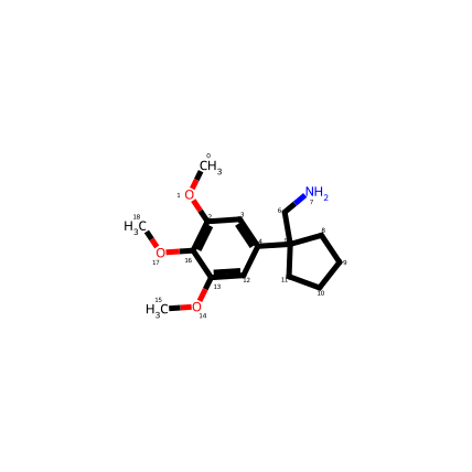 COc1cc(C2(CN)CCCC2)cc(OC)c1OC